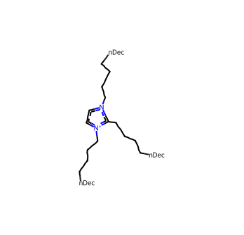 CCCCCCCCCCCCCCc1n(CCCCCCCCCCCCCC)cc[n+]1CCCCCCCCCCCCCC